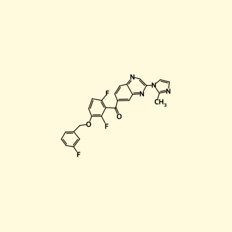 Cc1nccn1-c1cnc2ccc(C(=O)c3c(F)ccc(OCc4cccc(F)c4)c3F)cc2n1